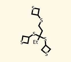 CCC(CCSC1CSC1)(SC1CSC1)SC1CSC1